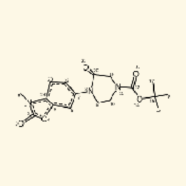 Cn1c(=O)oc2cc(N3CCN(C(=O)OC(C)(C)C)CC3=O)ccc21